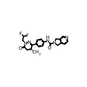 C[C@@H]1CC(=O)N(CC(F)F)N=C1c1ccc(NC(=O)N2Cc3ccncc3C2)cc1